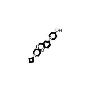 OC1CCN(c2ccc3c(c2)COC2(CCN(C4CCC4)CC2)O3)CC1